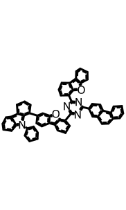 c1ccc(-n2c3ccccc3c3cccc(-c4ccc5c(c4)oc4c(-c6nc(-c7ccc8c(ccc9ccccc98)c7)nc(-c7cccc8c7oc7ccccc78)n6)cccc45)c32)cc1